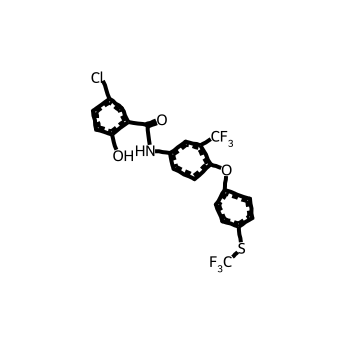 O=C(Nc1ccc(Oc2ccc(SC(F)(F)F)cc2)c(C(F)(F)F)c1)c1cc(Cl)ccc1O